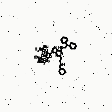 COCC1OC(n2cnc3c(NCC(c4ccccc4)c4ccccc4)nc(CCNCC4CCCCC4)nc32)C(O[Si](C)(C)C(C)(C)C)C1O[Si](C)(C)C(C)(C)C